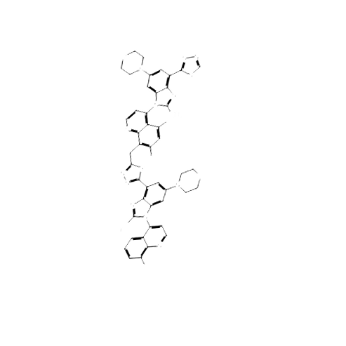 Cc1nc2c(-c3nnc(Cc4c(F)cc(F)c5c(-n6c(C)nc7c(-c8nnc[nH]8)cc(N8CCOCC8)cc76)ccnc45)[nH]3)cc(N3CCOCC3)cc2n1-c1ccnc2c(F)cccc12